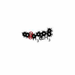 CC1(C)c2cc(-c3ccc4c(c3)Oc3cc5ccccc5cc3O4)ccc2-c2ccc(-c3cccc4ccccc34)cc21